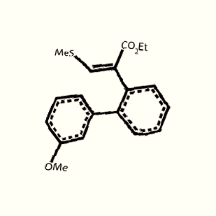 CCOC(=O)C(=CSC)c1[c]cccc1-c1cccc(OC)c1